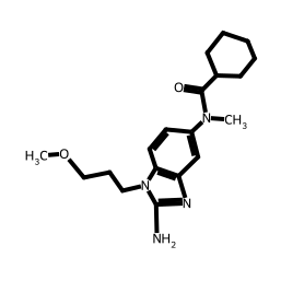 COCCCn1c(N)nc2cc(N(C)C(=O)C3CCCCC3)ccc21